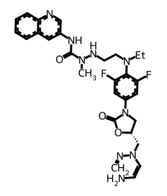 C=NN(/C=C\N)C[C@H]1CN(c2cc(F)c(N(CC)CCNN(C)C(=O)Nc3cnc4ccccc4c3)c(F)c2)C(=O)O1